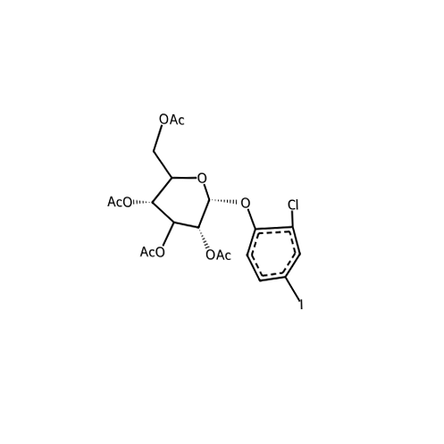 CC(=O)OCC1O[C@H](Oc2ccc(I)cc2Cl)[C@H](OC(C)=O)C(OC(C)=O)[C@@H]1OC(C)=O